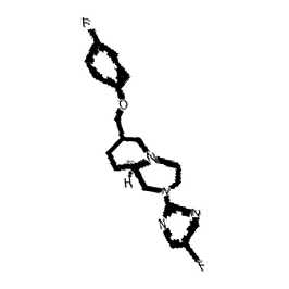 Fc1ccc(OCC2CC[C@@H]3CN(c4ncc(F)cn4)CCN3C2)cc1